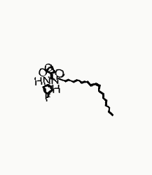 CCCCCCCC/C=C\CCCCCCCCN/C(Nc1ccc(F)cc1)=C1\C(=O)COC1=O